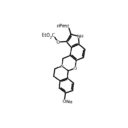 CCCCCc1[nH]c2ccc3c(c2c1OC(=O)OCC)CN1CCc2cc(OC)ccc2C1O3